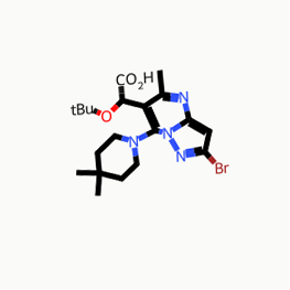 Cc1nc2cc(Br)nn2c(N2CCC(C)(C)CC2)c1C(OC(C)(C)C)C(=O)O